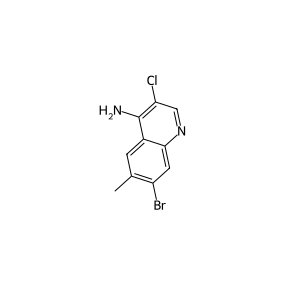 Cc1cc2c(N)c(Cl)cnc2cc1Br